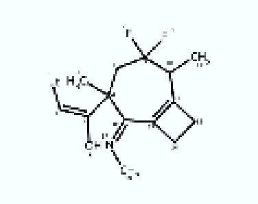 CC/C=C(/O)C1(C)CC(F)(F)C(C)C2=C(CC2)/C1=N\C